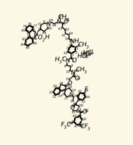 Cc1cc(C(=O)N(C)CCCN(C)C(=O)CO[C@H]2Cc3ccccc3C23CCN(CC[C@]2(c4ccc(F)cc4)CN(C(=O)c4cc(C(F)(F)F)cc(C(F)(F)F)c4)CO2)CC3)ccc1NCCCCCC(=O)N(C)CCN1CCC(N(C(=O)O)c2ccccc2-c2ccccc2)CC1.Cl.Cl.Cl